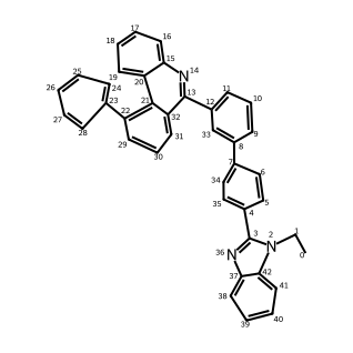 CCn1c(-c2ccc(-c3cccc(-c4nc5ccccc5c5c(-c6ccccc6)cccc45)c3)cc2)nc2ccccc21